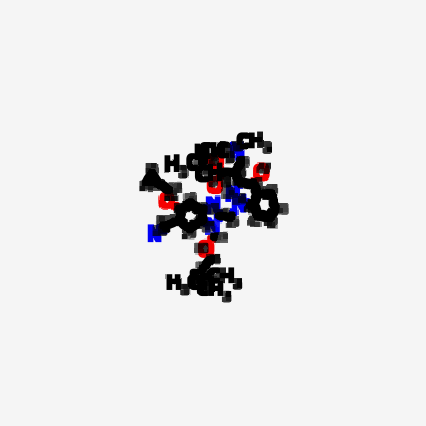 CN(C)CC(C(=O)OC(C)(C)C)c1nn(Cc2nc3cc(OCC4CC4)c(C#N)cc3n2COCC[Si](C)(C)C)c2ccccc2c1=O